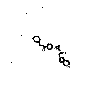 O=C(CCC1CCCCC1)c1ccc([C@@H]2C[C@H]2C(=O)Cc2ccc3cnccc3c2)cc1